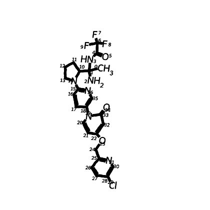 CC(N)(NC(=O)C(F)(F)F)C1CCCN1c1ccc(-n2ccc(OCc3ccc(Cl)cn3)cc2=O)cn1